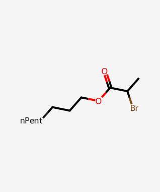 CCCCCCCCOC(=O)C(C)Br